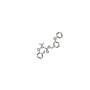 CC1(C)C(Oc2ccccc2F)C1C(=O)OCc1cccc(Oc2ccccc2)c1